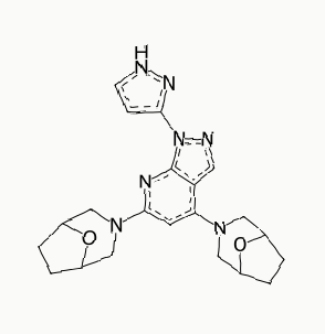 c1cc(-n2ncc3c(N4CC5CCC(C4)O5)cc(N4CC5CCC(C4)O5)nc32)n[nH]1